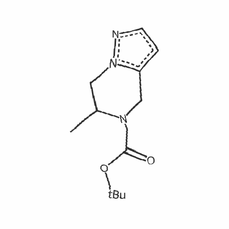 CC1Cn2nccc2CN1C(=O)OC(C)(C)C